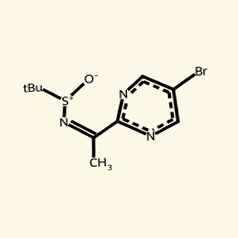 C/C(=N/[S+]([O-])C(C)(C)C)c1ncc(Br)cn1